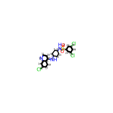 O=S(=O)(NC1CCC(Nc2ccnc3cc(Cl)ccc23)CC1)c1cc(Cl)cc(Cl)c1